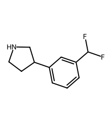 FC(F)c1cccc(C2CCNC2)c1